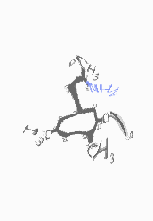 CC(N)CC1CC(C)CC(C)C(C)C1